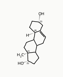 C[C@]12CCC3C(CC=C4C[C@@H](O)CC[C@@H]43)C1CC[C@@H]2O